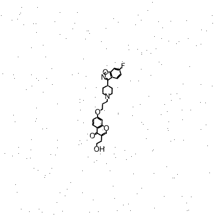 O=c1c(CCO)coc2cc(OCCCN3CCC(c4noc5cc(F)ccc45)CC3)ccc12